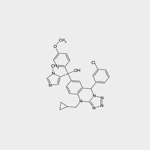 COc1ccc(C(O)(c2ccc3c(c2)C(c2cccc(Cl)c2)n2nnnc2N3CC2CC2)c2cncn2C)cc1